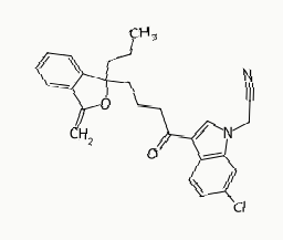 C=C1OC(CCC)(CCCC(=O)c2cn(CC#N)c3cc(Cl)ccc23)c2ccccc21